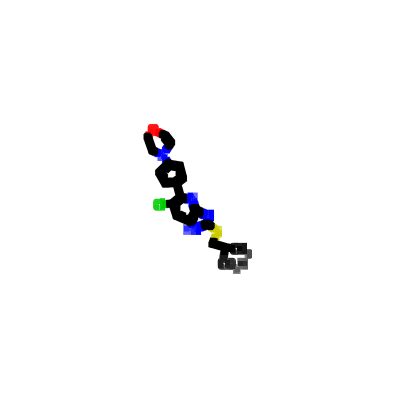 CC(CSc1nc2nc(-c3ccc(N4C=COCC4)cc3)c(Cl)cc2[nH]1)C(=O)O